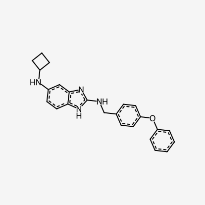 c1ccc(Oc2ccc(CNc3nc4cc(NC5CCC5)ccc4[nH]3)cc2)cc1